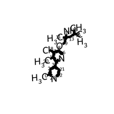 Cc1cc(-c2ncc(OCC(C)(N)CC(C)C)c(Cl)c2C)ccn1